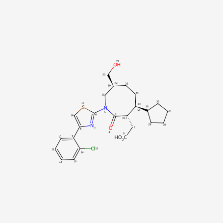 O=C(O)C[C@@H]1C(=O)N(c2nc(-c3ccccc3Cl)cs2)C[C@@H](CO)CC[C@H]1C1CCCC1